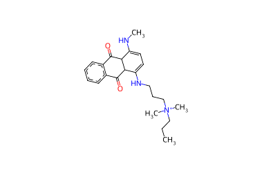 CCC[N+](C)(C)CCCNC1=CC=C(NC)C2C(=O)c3ccccc3C(=O)C12